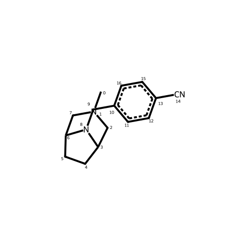 CN1CC2CCC(C1)N2Cc1ccc(C#N)cc1